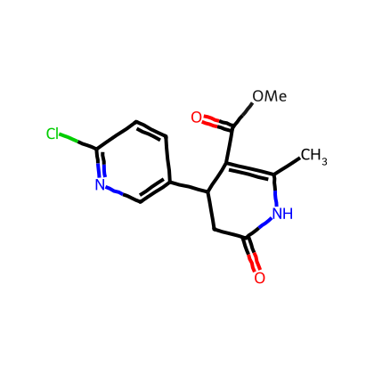 COC(=O)C1=C(C)NC(=O)CC1c1ccc(Cl)nc1